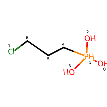 O[PH](O)(O)CCCCl